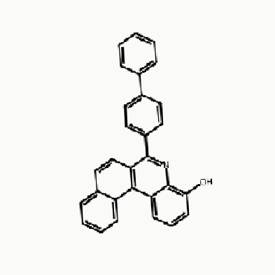 Oc1cccc2c1nc(-c1ccc(-c3ccccc3)cc1)c1ccc3ccccc3c12